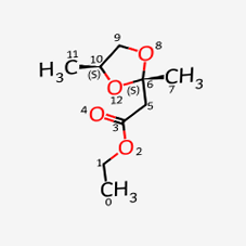 CCOC(=O)C[C@@]1(C)OC[C@H](C)O1